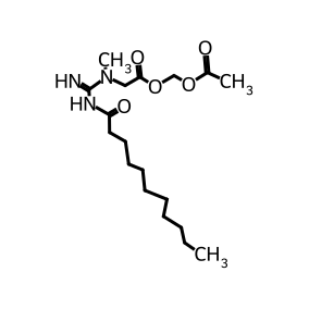 CCCCCCCCCCC(=O)NC(=N)N(C)CC(=O)OCOC(C)=O